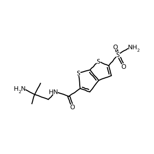 CC(C)(N)CNC(=O)c1cc2cc(S(N)(=O)=O)sc2s1